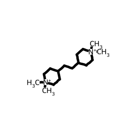 C[N+]1(C)CCC(CCC2CC[N+](C)(C)CC2)CC1